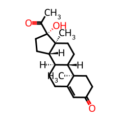 CC(=O)[C@]1(O)CC[C@H]2[C@@H]3CCC4=CC(=O)CC[C@]4(C)[C@H]3CC[C@@]21C